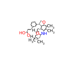 Cc1c(C)c2c(c(C)c1NC(=O)CC(C)(C)C)C(c1cccc(C=CC(=O)O)c1)CO2